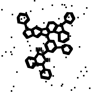 N=C(NC(c1cc(-c2ccccc2)cc(-n2c3cc4ccn(-c5ccccc5)c4cc3c3ccc4c(c5ccccc5n4-c4ccccc4)c32)c1)C(N)c1ccccc1)c1ccccc1